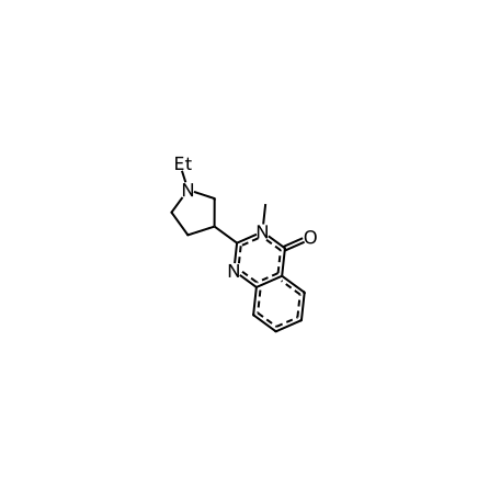 CCN1CCC(c2nc3ccccc3c(=O)n2C)C1